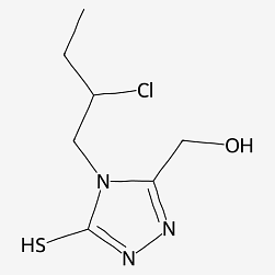 CCC(Cl)Cn1c(S)nnc1CO